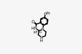 CCCc1ccc2c(c1)C(=O)N[C@@H]1CNCCN21